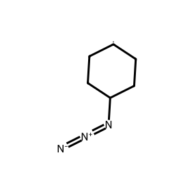 [N-]=[N+]=NC1CC[CH]CC1